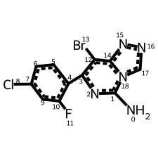 Nc1nc(-c2ccc(Cl)cc2F)c(Br)c2nncn12